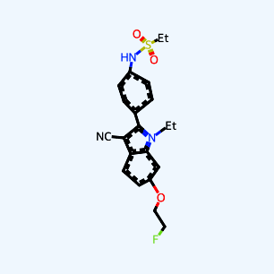 CCn1c(-c2ccc(NS(=O)(=O)CC)cc2)c(C#N)c2ccc(OCCF)cc21